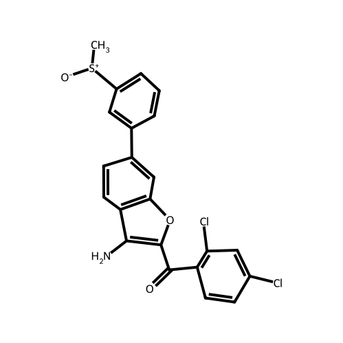 C[S+]([O-])c1cccc(-c2ccc3c(N)c(C(=O)c4ccc(Cl)cc4Cl)oc3c2)c1